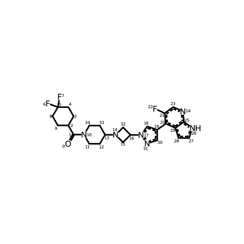 O=C(C1CCC(F)(F)CC1)N1CCC(N2CC(n3cc(-c4c(F)cnc5[nH]ccc45)cn3)C2)CC1